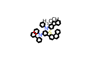 CC1(C)c2ccccc2-c2ccc(N(c3ccccc3)c3cc(N(c4ccccc4)c4ccccc4-c4ccccc4)cc4c3sc3c4ccc4ccc5ccccc5c43)cc21